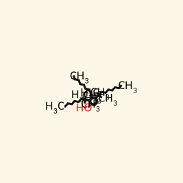 CCCCCCCC(C)(C)c1ccc(O)c(C(C)(C)CCCCCCC)c1C(C)(C)CCCCCCC